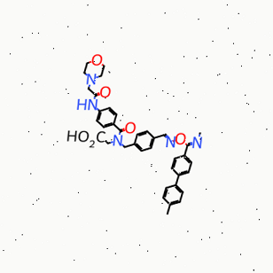 C/N=C(\O/N=C/c1ccc(CN(CC(=O)O)C(=O)c2ccc(NC(=O)CN3CCOCC3)cc2)cc1)c1ccc(-c2ccc(C)cc2)cc1